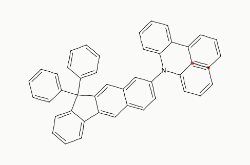 c1ccc(-c2ccccc2N(c2ccccc2)c2ccc3cc4c(cc3c2)C(c2ccccc2)(c2ccccc2)c2ccccc2-4)cc1